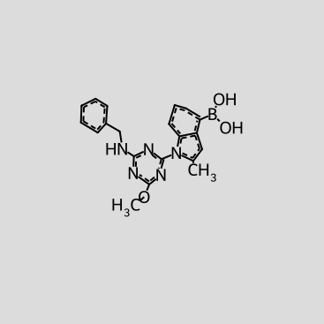 COc1nc(NCc2ccccc2)nc(-n2c(C)cc3c(B(O)O)cccc32)n1